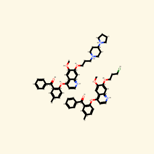 COc1cc2c(Oc3ccc(C)cc3C(=O)c3ccccc3)ccnc2cc1OCCCCl.COc1cc2c(Oc3ccc(C)cc3C(=O)c3ccccc3)ccnc2cc1OCCCN1CCC(N2CCCC2)CC1